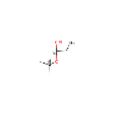 C[SiH](C)O[C@@](C)(O)CC(C)(C)C